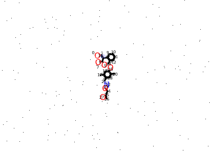 CO/C=C(\C(=O)OC)c1ccccc1COc1cc(C)c(/C=N/OCC2CO2)cc1C